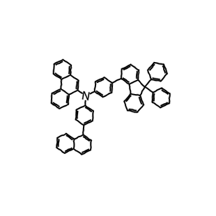 c1ccc(C2(c3ccccc3)c3ccccc3-c3c(-c4ccc(N(c5ccc(-c6cccc7ccccc67)cc5)c5cc6ccccc6c6ccccc56)cc4)cccc32)cc1